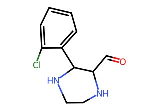 O=CC1NCCNC1c1ccccc1Cl